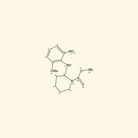 COc1cccc([N+](=O)[O-])c1NC1CCCCN1C(=O)OC(C)(C)C